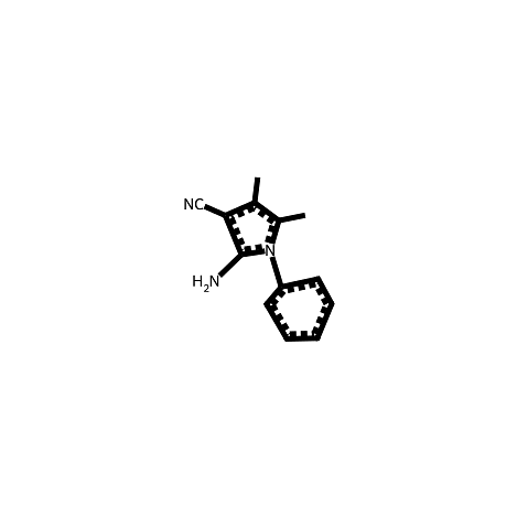 Cc1c(C#N)c(N)n(-c2ccccc2)c1C